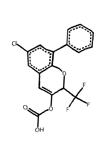 O=C(O)OC1=Cc2cc(Cl)cc(-c3ccccc3)c2OC1C(F)(F)F